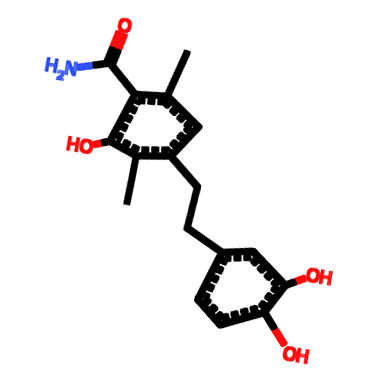 Cc1cc(CCc2ccc(O)c(O)c2)c(C)c(O)c1C(N)=O